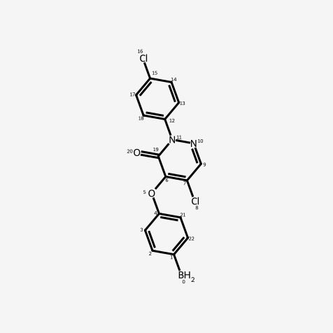 Bc1ccc(Oc2c(Cl)cnn(-c3ccc(Cl)cc3)c2=O)cc1